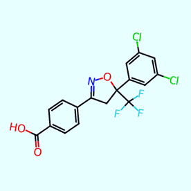 O=C(O)c1ccc(C2=NOC(c3cc(Cl)cc(Cl)c3)(C(F)(F)F)C2)cc1